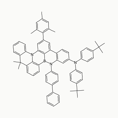 Cc1cc(C)c(-c2cc3c4c(c2)N2c5ccccc5C(C)(C)c5cccc(c52)B4N(c2ccc(-c4ccccc4)cc2)c2cc(N(c4ccc(C(C)(C)C)cc4)c4ccc(C(C)(C)C)cc4)ccc2-3)c(C)c1